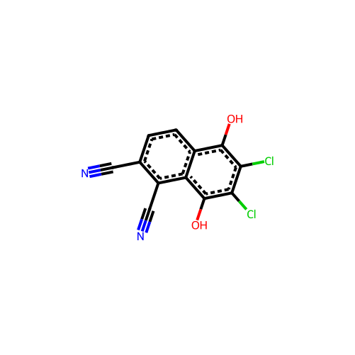 N#Cc1ccc2c(O)c(Cl)c(Cl)c(O)c2c1C#N